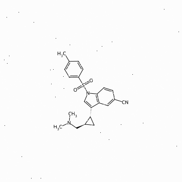 Cc1ccc(S(=O)(=O)n2cc([C@@H]3C[C@H]3CN(C)C)c3cc(C#N)ccc32)cc1